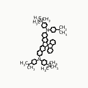 CC(C)c1ccc(N(c2ccc([Si](C)(C)C)cc2)c2ccc3cc4c(cc3c2)C2(c3ccccc3-c3ccccc32)c2cc3cc(N(c5ccc(C(C)C)cc5)c5ccc([Si](C)(C)C)cc5)ccc3cc2-4)cc1